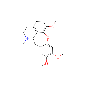 COc1cc2c(cc1OC)Oc1c(OC)ccc3c1C(C2)N(C)CC3